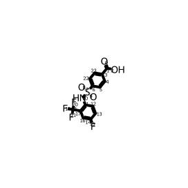 O=C(O)c1ccc(S(=O)(=O)Nc2ccc(F)cc2C(F)(F)F)cc1